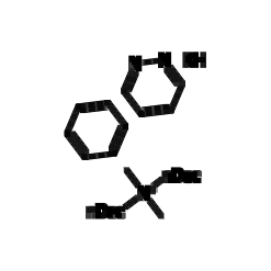 CCCCCCCCCC[N+](C)(C)CCCCCCCCCC.[KH].c1ccccc1.c1ccnnc1